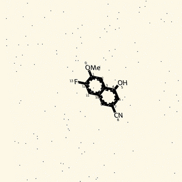 COc1cc2c(O)cc(C#N)cc2cc1F